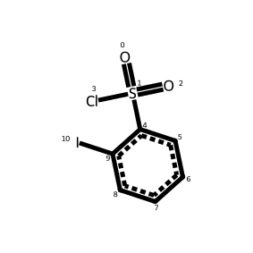 O=S(=O)(Cl)c1ccccc1I